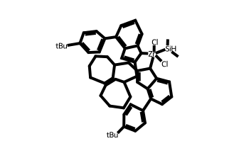 C[SiH](C)[Zr]([Cl])([Cl])([CH]1C(CC2CCCCCC2)=Cc2c(-c3ccc(C(C)(C)C)cc3)cccc21)[CH]1C(CC2CCCCCC2)=Cc2c(-c3ccc(C(C)(C)C)cc3)cccc21